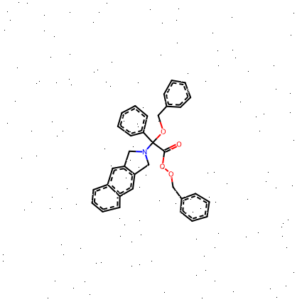 O=C(OOCc1ccccc1)C(OCc1ccccc1)(c1ccccc1)N1Cc2cc3ccccc3cc2C1